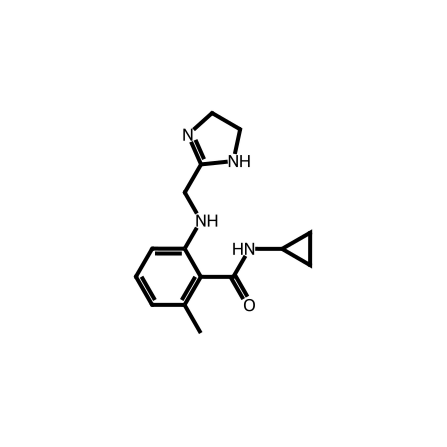 Cc1cccc(NCC2=NCCN2)c1C(=O)NC1CC1